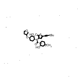 C[C@@H]1CC[C@@H](C(=O)N(c2cc(C#CC(C)(C)C)sc2C(=O)O)[C@H]2CC[C@@H](OC3CCOC3)CC2)[C@@H](O)C1